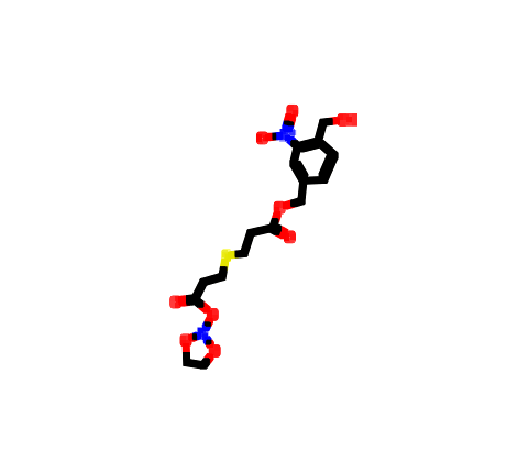 O=C(CCSCCC(=O)ON1OCCO1)OCc1ccc(CO)c([N+](=O)[O-])c1